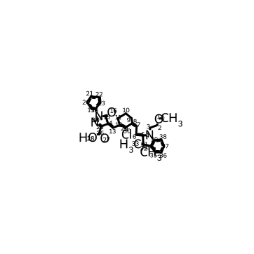 COCCN1C(=CC=C2CCCC(C=C3C(=O)N(c4ccccc4)N=C3C(=O)O)=C2Cl)C(C)(C)c2ccccc21